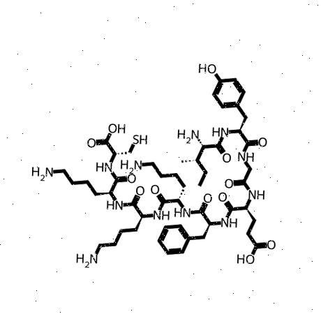 CC[C@H](C)[C@H](N)C(=O)N[C@@H](Cc1ccc(O)cc1)C(=O)NCC(=O)N[C@@H](CCC(=O)O)C(=O)N[C@@H](Cc1ccccc1)C(=O)N[C@@H](CCCCN)C(=O)N[C@@H](CCCCN)C(=O)N[C@@H](CCCCN)C(=O)N[C@@H](CS)C(=O)O